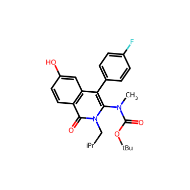 CC(C)Cn1c(N(C)C(=O)OC(C)(C)C)c(-c2ccc(F)cc2)c2cc(O)ccc2c1=O